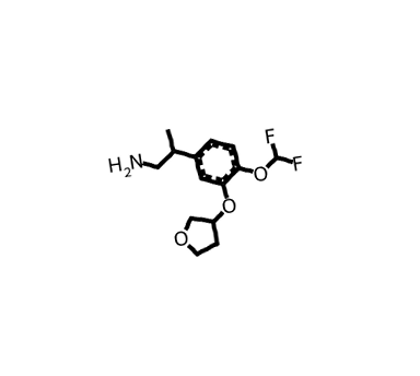 CC(CN)c1ccc(OC(F)F)c(OC2CCOC2)c1